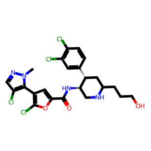 Cn1ncc(Cl)c1-c1cc(C(=O)N[C@@H]2CNC(CCCO)C[C@H]2c2ccc(Cl)c(Cl)c2)oc1Cl